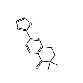 CC1(C)CCc2nc(-c3ncco3)ccc2C1=O